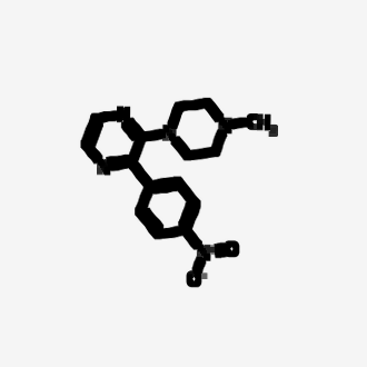 CN1CCN(c2nccnc2-c2ccc([N+](=O)[O-])cc2)CC1